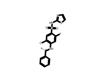 C[C@H](Nc1cc(F)c(S(=O)(=O)Nc2nccs2)cc1Cl)c1ccccc1